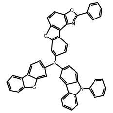 c1ccc(-c2nc3c(ccc4oc5cc(N(c6ccc7c(c6)sc6ccccc67)c6ccc7c(c6)c6ccccc6n7-c6ccccc6)ccc5c43)o2)cc1